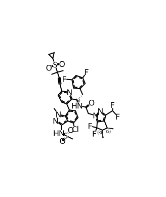 C[C@@H]1c2c(C(F)F)nn(CC(=O)N[C@@H](Cc3cc(F)cc(F)c3)c3nc(C#CC(C)(C)S(=O)(=O)C4CC4)ccc3-c3ccc(Cl)c4c(NS(C)(=O)=O)nn(C)c34)c2C(F)(F)[C@@H]1C